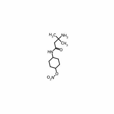 CC(C)(N)CC(=O)NC1CCC(O[N+](=O)[O-])CC1